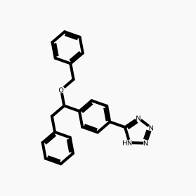 c1ccc(COC(Cc2ccccc2)c2ccc(-c3nnn[nH]3)cc2)cc1